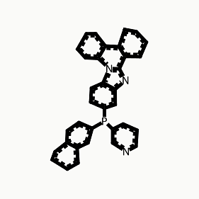 c1cncc(P(c2ccc3ccccc3c2)c2ccc3c(c2)nc2c4ccccc4c4ccccc4n32)c1